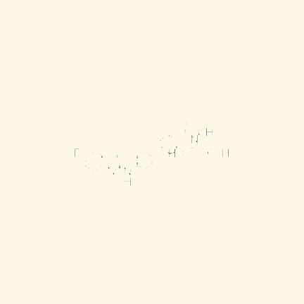 C[C@@H](C(=O)O)N(C)C(=O)c1ccc(-c2ccc(NC(=O)Nc3ccc(F)cc3)cc2)cc1